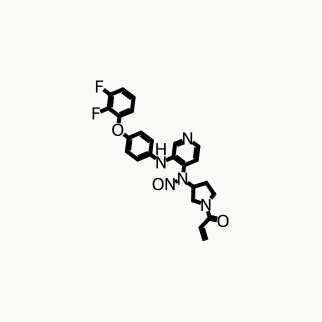 C=CC(=O)N1CCC(N(N=O)c2ccncc2Nc2ccc(Oc3cccc(F)c3F)cc2)C1